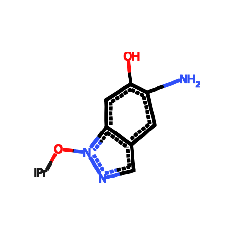 CC(C)On1ncc2cc(N)c(O)cc21